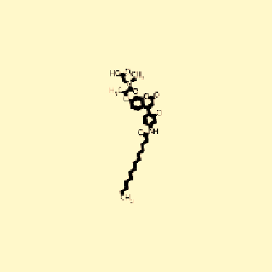 CCCCCCCCCCCCCC(=O)Nc1ccc(-c2cc(=O)oc3cc(OC(C)C(=O)N(CC)CC(=O)O)ccc23)c(Cl)c1